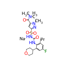 CC(C)c1cc(F)cc(C2CCOCC2)c1NC(=O)NS(=O)(=O)c1cc(C(=O)N(C)C)n(C)n1.[Na]